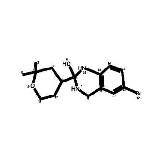 CC1(C)CC(C2(O)NCc3cc(Br)ccc3N2)CCO1